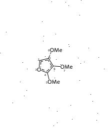 COc1[c]oc(OC)c1OC